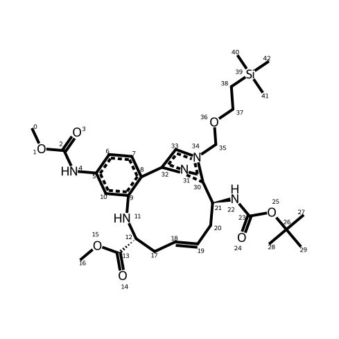 COC(=O)Nc1ccc2c(c1)N[C@@H](C(=O)OC)C/C=C/C[C@H](NC(=O)OC(C)(C)C)c1nc-2cn1COCC[Si](C)(C)C